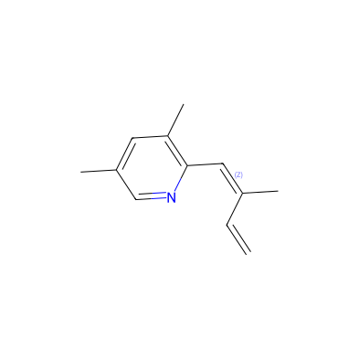 C=C/C(C)=C\c1ncc(C)cc1C